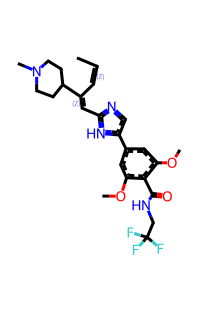 C/C=C\C(=C/c1ncc(-c2cc(OC)c(C(=O)NCC(F)(F)F)c(OC)c2)[nH]1)C1CCN(C)CC1